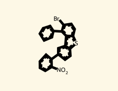 O=[N+]([O-])c1ccccc1-c1ccc2sc3ccc(Br)c(-c4ccccc4)c3c2c1